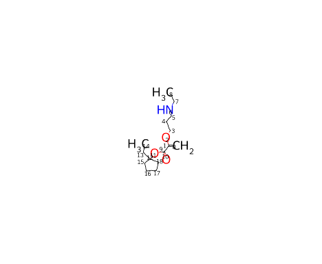 C=C(OCCCNCC)C(=O)OC1(CC)CCCC1